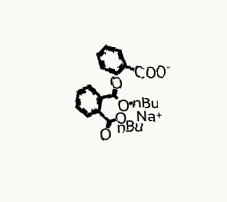 CCCCOC(=O)c1ccccc1C(=O)OCCCC.O=C([O-])c1ccccc1.[Na+]